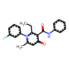 CCc1c(C(=O)Nc2ccccc2)c(=O)cc(C)n1-c1cccc(F)c1